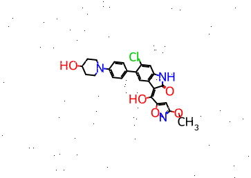 COc1cc(C(O)=C2C(=O)Nc3cc(Cl)c(-c4ccc(N5CCC(O)CC5)cc4)cc32)on1